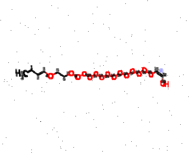 CCCCOCCOOOOOOOOOOOOOO/C=C\O